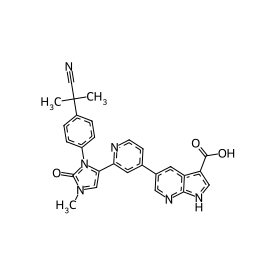 Cn1cc(-c2cc(-c3cnc4[nH]cc(C(=O)O)c4c3)ccn2)n(-c2ccc(C(C)(C)C#N)cc2)c1=O